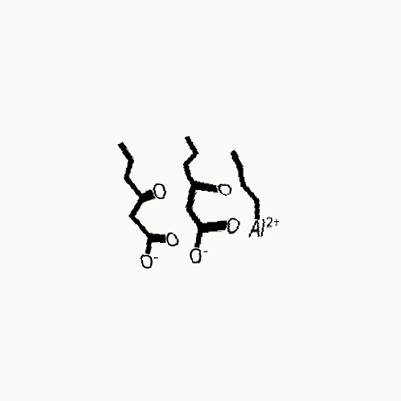 CCCC(=O)CC(=O)[O-].CCCC(=O)CC(=O)[O-].CCC[CH2][Al+2]